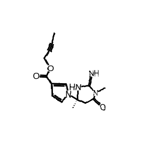 CC#CCOC(=O)c1ccn([C@]2(C)CC(=O)N(C)C(=N)N2)c1